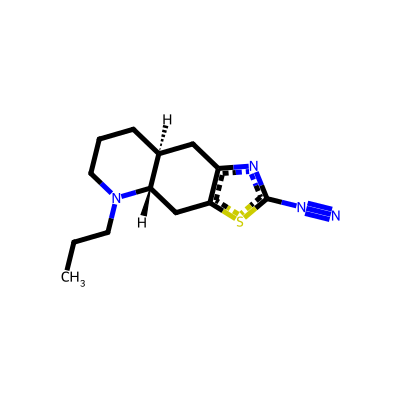 CCCN1CCC[C@H]2Cc3nc([N+]#N)sc3C[C@@H]21